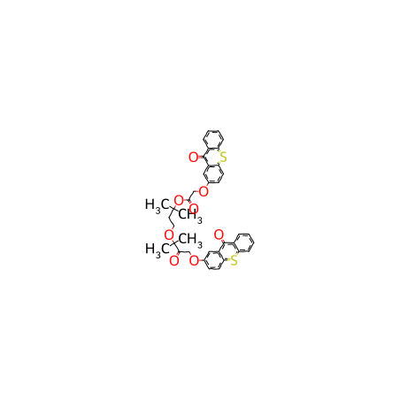 CC(C)(CCOC(C)(C)C(=O)COc1ccc2sc3ccccc3c(=O)c2c1)OC(=O)COc1ccc2sc3ccccc3c(=O)c2c1